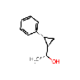 C[C@@H](O)[C@@H]1C[C@H]1c1ccccc1